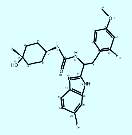 COc1ccc(CC(NC(=O)N[C@H]2CC[C@](C)(O)CC2)c2nc3ccc(F)cc3[nH]2)c(F)c1